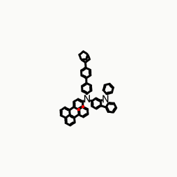 c1ccc(-c2cccc3cccc(-c4ccc(N(c5ccc(-c6ccc(C7CC8CCC7C8)cc6)cc5)c5ccc6c7ccccc7n(-c7ccccc7)c6c5)cc4)c23)cc1